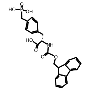 O=C(N[C@@H](Cc1ccc(CP(=O)(O)O)cc1)C(=O)O)OCC1c2ccccc2-c2ccccc21